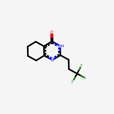 O=c1[nH]c(CCC(F)(F)F)nc2c1CCCC2